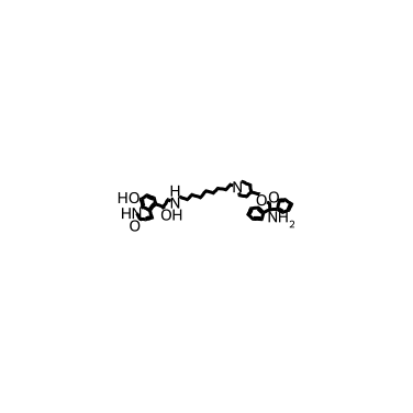 NC(C(=O)OCC1CCN(CCCCCCCCCNCC(O)c2ccc(O)c3[nH]c(=O)ccc23)CC1)(c1ccccc1)c1ccccc1